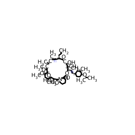 C=CC[C@@H]1/C=C(\C)C[C@H](C)C[C@H](OC)[C@H]2O[C@@](O)(C(=O)C(=O)N3CCCC[C@H]3C(=O)O[C@H](/C(C)=C/[C@@H]3CC[C@@H](OC(C)C)[C@H](C)C3)[C@H](C)[C@@H](O)CC1=O)[C@H](C)C[C@@H]2OC